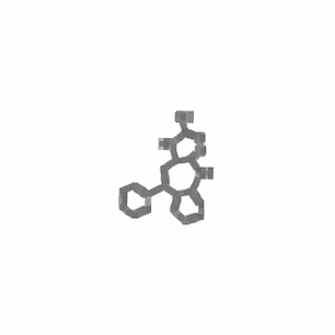 O=C(O)NC1C=C(c2ccccc2)c2ccccc2NC1=O